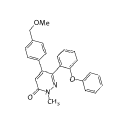 COCc1ccc(-c2cc(=O)n(C)nc2-c2ccccc2Oc2ccccc2)cc1